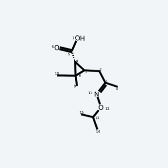 CC(CC1[C@@H](C(=O)O)C1(C)C)=NOC(C)C